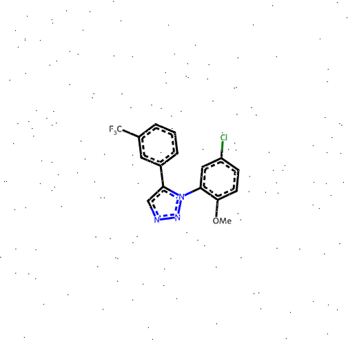 COc1ccc(Cl)cc1-n1nncc1-c1cccc(C(F)(F)F)c1